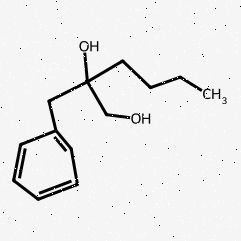 CCCCC(O)(CO)Cc1ccccc1